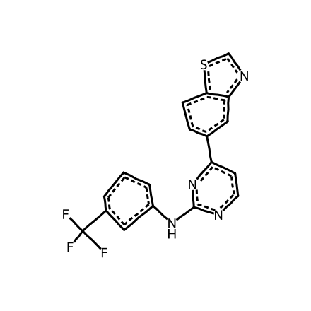 FC(F)(F)c1cccc(Nc2nccc(-c3ccc4scnc4c3)n2)c1